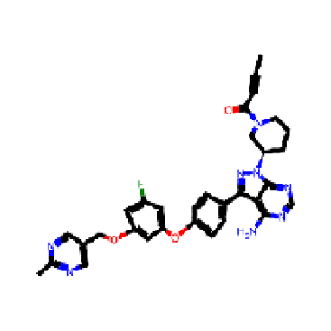 CC#CC(=O)N1CCC[C@@H](n2nc(-c3ccc(Oc4cc(F)cc(OCc5cnc(C)nc5)c4)cc3)c3c(N)ncnc32)C1